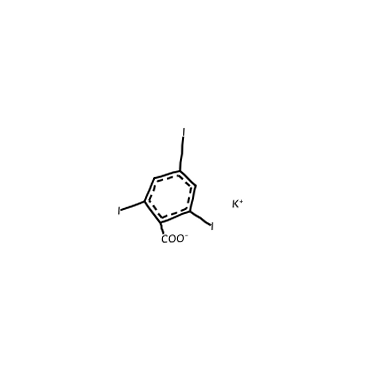 O=C([O-])c1c(I)cc(I)cc1I.[K+]